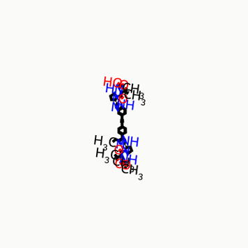 CCc1nc([C@@H]2CCCN2C(=O)[C@@H](NC(=O)OC)C(C)C)[nH]c1-c1ccc(C#Cc2ccc3[nH]c([C@@H]4CCCN4C(=O)[C@@H](NC(=O)O)C(C)C)nc3c2)cc1